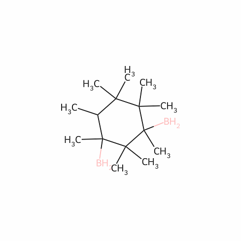 BC1(C)C(C)C(C)(C)C(C)(C)C(B)(C)C1(C)C